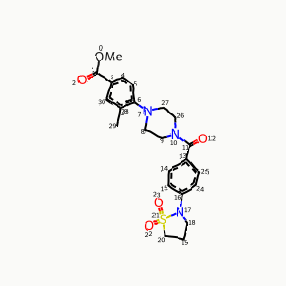 COC(=O)c1ccc(N2CCN(C(=O)c3ccc(N4CCCS4(=O)=O)cc3)CC2)c(C)c1